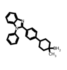 BC1(C)CCC(c2ccc(-c3nc4ccccc4n3-c3ccccc3)cc2)CC1